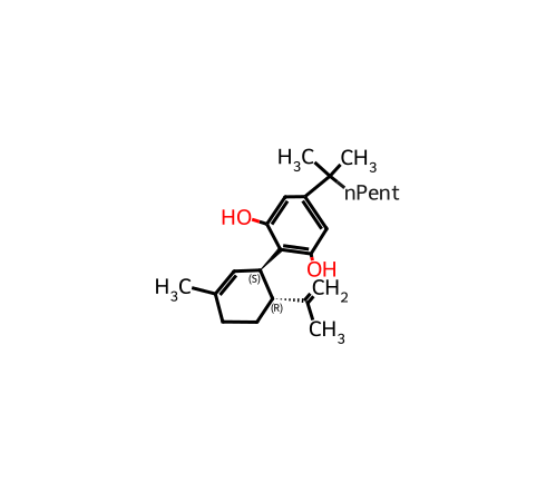 C=C(C)[C@@H]1CCC(C)=C[C@H]1c1c(O)cc(C(C)(C)CCCCC)cc1O